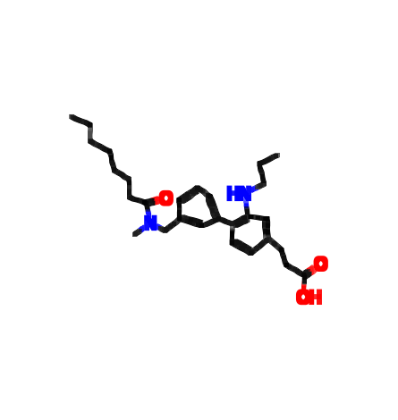 CCCCCCCC(=O)N(C)Cc1cccc(-c2ccc(CCC(=O)O)cc2NCCC)c1